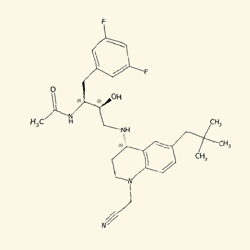 CC(=O)N[C@@H](Cc1cc(F)cc(F)c1)[C@@H](O)CN[C@H]1CCN(CC#N)c2ccc(CC(C)(C)C)cc21